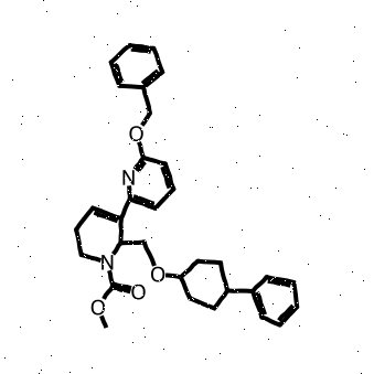 COC(=O)N1CCC=C(c2cccc(OCc3ccccc3)n2)C1COC1CCC(c2ccccc2)CC1